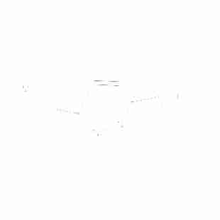 COCc1ccc(C(=O)O)nn1